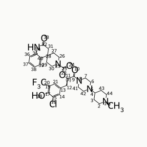 CN1CCC(N2CCN(C(=O)[C@@H](Cc3cc(Cl)c(O)c(C(F)(F)F)c3)OC(=O)N3CCC4(CC3)CC(=O)Nc3ccccc34)CC2)CC1